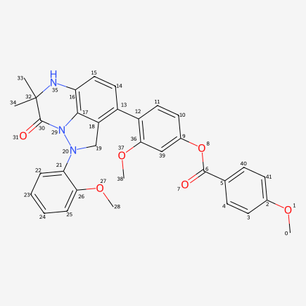 COc1ccc(C(=O)Oc2ccc(-c3ccc4c5c3CN(c3ccccc3OC)N5C(=O)C(C)(C)N4)c(OC)c2)cc1